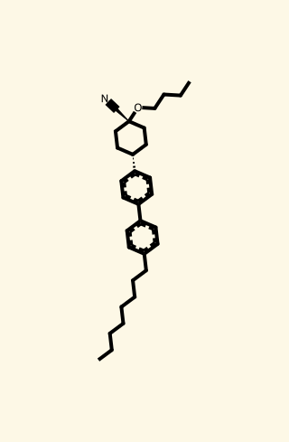 CCCCCCCCc1ccc(-c2ccc([C@H]3CC[C@@](C#N)(OCCCC)CC3)cc2)cc1